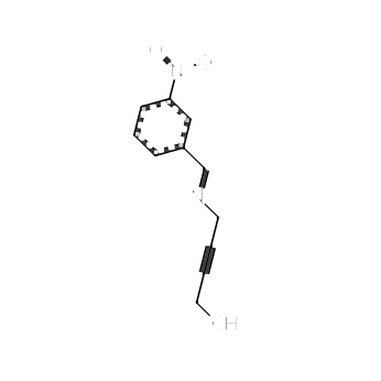 CCC#CC/N=C/c1cccc([N+](=O)[O-])c1